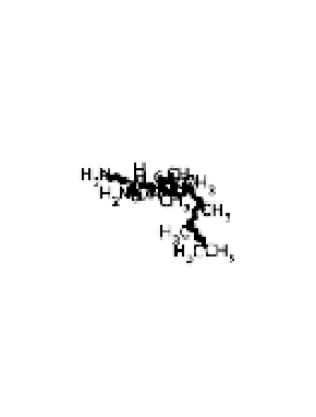 Cc1c(C)c2c(c(C)c1OCC(O)N[C@@H](CCCCN)C(N)=O)CC[C@@](C)(CCC[C@H](C)CCC[C@H](C)CCCC(C)C)O2